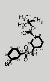 CC(C)(C)OC(=O)N1CCCC(NS(=O)(=O)c2cccc(Br)c2)C1